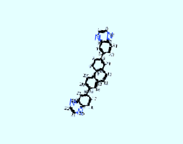 c1cnc2cc(-c3ccc4c(ccc5cc(-c6ccc7nccnc7c6)ccc54)c3)ccc2n1